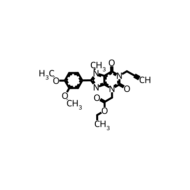 C#CCn1c(=O)c2c(nc(-c3ccc(OC)c(OC)c3)n2C)n(CC(=O)OCC)c1=O